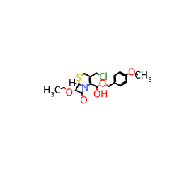 CCO[C@H]1C(=O)N2C(C(O)OCc3ccc(OC)cc3)=C(CCl)CS[C@H]12